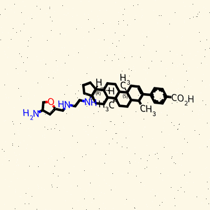 CC1C(c2ccc(C(=O)O)cc2)=CC[C@@]2(C)C1CC[C@@]1(C)C3CC[C@@]4(NCCNCC5CC(N)CO5)CCC[C@@H]4[C@H]3CCC21